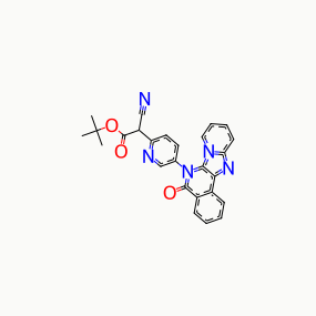 CC(C)(C)OC(=O)C(C#N)c1ccc(-n2c(=O)c3ccccc3c3nc4ccccn4c32)cn1